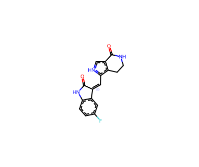 O=C1Nc2ccc(F)cc2/C1=C/c1[nH]cc2c1CCNC2=O